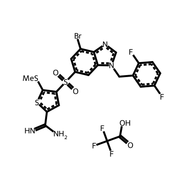 CSc1sc(C(=N)N)cc1S(=O)(=O)c1cc(Br)c2ncn(Cc3cc(F)ccc3F)c2c1.O=C(O)C(F)(F)F